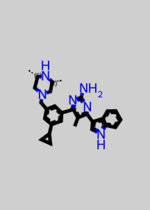 Cc1c(-c2cc(CN3C[C@@H](C)N[C@@H](C)C3)cc(C3CC3)c2)nc(N)nc1-c1c[nH]c2ccccc12